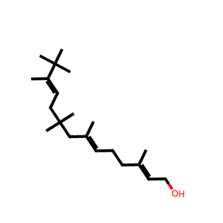 C/C(=C\CO)CC/C=C(\C)CC(C)(C)C/C=C(\C)C(C)(C)C